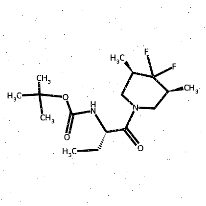 CC[C@H](NC(=O)OC(C)(C)C)C(=O)N1C[C@@H](C)C(F)(F)[C@@H](C)C1